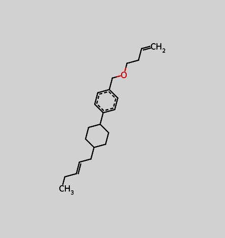 C=CCCOCc1ccc(C2CCC(CC=CCC)CC2)cc1